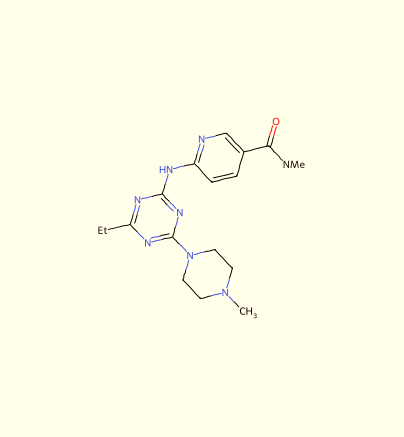 CCc1nc(Nc2ccc(C(=O)NC)cn2)nc(N2CCN(C)CC2)n1